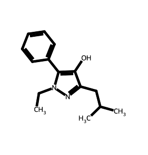 CCn1nc(CC(C)C)c(O)c1-c1ccccc1